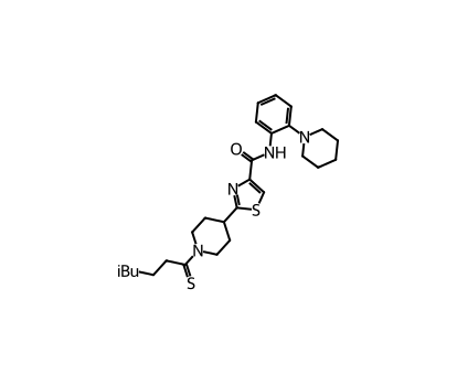 CCC(C)CCC(=S)N1CCC(c2nc(C(=O)Nc3ccccc3N3CCCCC3)cs2)CC1